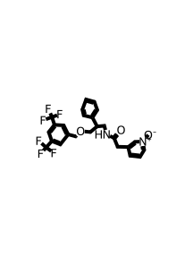 O=C(Cc1ccc[n+]([O-])c1)NCC(COCc1cc(C(F)(F)F)cc(C(F)(F)F)c1)c1ccccc1